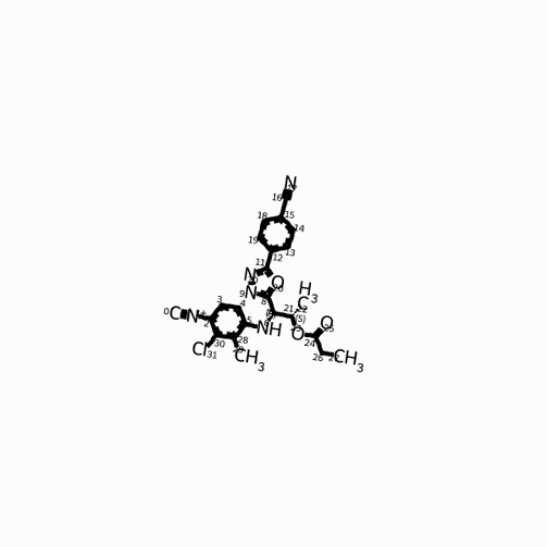 [C-]#[N+]c1ccc(N[C@@H](c2nnc(-c3ccc(C#N)cc3)o2)[C@H](C)OC(=O)CC)c(C)c1Cl